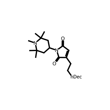 CCCCCCCCCCCCC1=CC(=O)N(C2CC(C)(C)N(C)C(C)(C)C2)C1=O